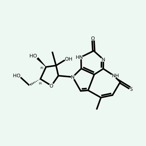 CC1=CC(=S)Nc2nc(=O)[nH]c3c2c1cn3C1O[C@H](CO)[C@@H](O)C1(C)O